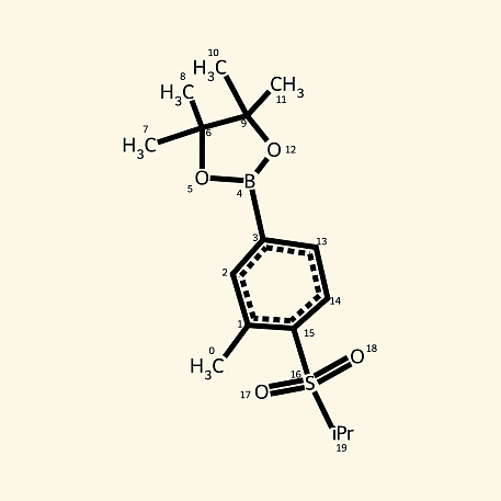 Cc1cc(B2OC(C)(C)C(C)(C)O2)ccc1S(=O)(=O)C(C)C